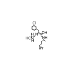 CC(C)CCCC(C)NC[C@@H](O)[C@@H](N)Cc1cccc(Cl)c1.Cl.Cl